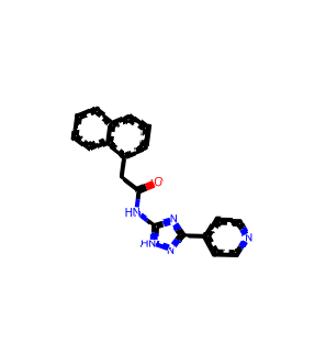 O=C(Cc1cccc2ccccc12)Nc1nc(-c2ccncc2)n[nH]1